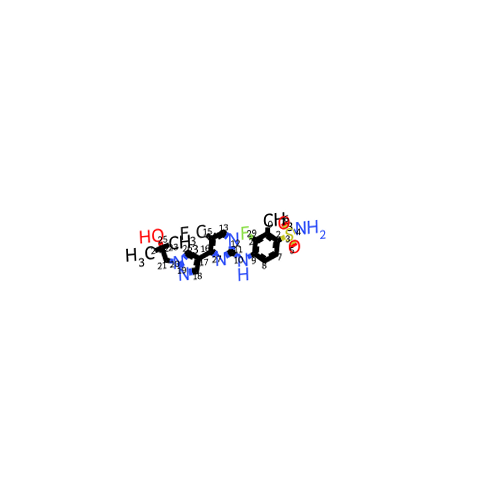 Cc1c(S(N)(=O)=O)ccc(Nc2ncc(C(F)(F)F)c(-c3cnn(CC(C)(C)O)c3)n2)c1F